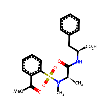 COC(=O)c1ccccc1S(=O)(=O)N(C)[C@@H](C)C(=O)N[C@@H](Cc1ccccc1)C(=O)O